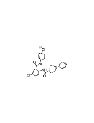 Cl.O=C(Nc1ccc(Cl)cn1)c1cc(Cl)ccc1NC(=O)C1CCN(c2ccncc2)CC1